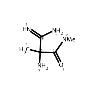 CNC(=O)C(C)(N)C(=N)N